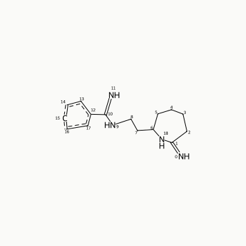 N=C1CCCCC(CCNC(=N)c2ccccc2)N1